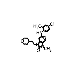 Cc1cc(Cl)ccc1Nc1cc2c(cn1)n(C)c(=O)n2CCC1CCOCC1